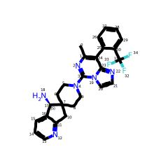 Cc1nc(N2CCC3(CC2)Cc2ncccc2[C@H]3N)n2ccnc2c1-c1ccccc1C(F)(F)F